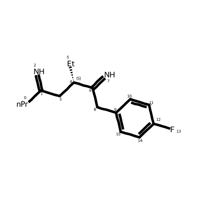 CCCC(=N)C[C@H](CC)C(=N)Cc1c[c]c(F)cc1